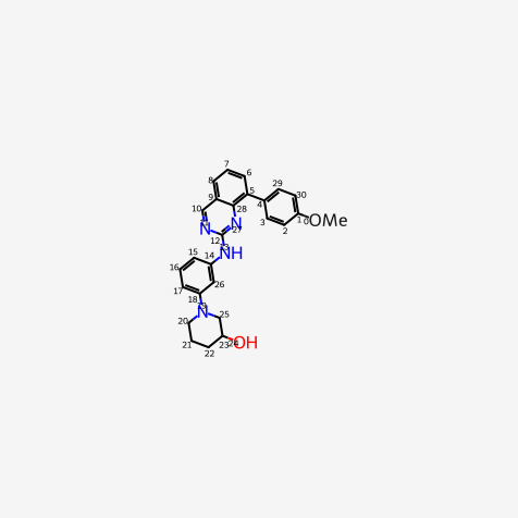 COc1ccc(-c2cccc3cnc(Nc4cccc(N5CCCC(O)C5)c4)nc23)cc1